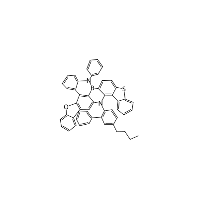 CCCCc1ccc(N2c3cc4c(oc5ccccc54)c4c3B(c3ccc5sc6ccccc6c5c32)N(c2ccccc2)c2ccccc2-4)c(-c2ccccc2)c1